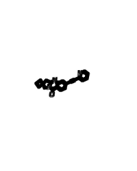 O=c1c2ccc(C#Cc3ccccn3)cc2nc2n1CC1(CCC1)C2